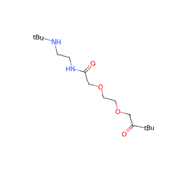 CC(C)(C)NCCNC(=O)COCCOCC(=O)C(C)(C)C